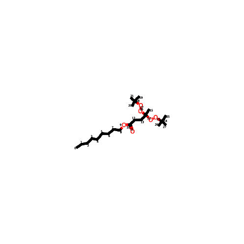 CCCCCCCCCOC(=O)CCC(C)(OOC(C)(C)C)OOC(C)(C)C